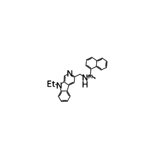 CCn1c2ccccc2c2cc(CN[C@H](C)c3cccc4ccccc34)ncc21